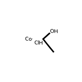 CCO.Cl.[Co]